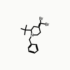 CC(C)(C)C1CC(=C(Br)Br)CCN1Cc1ccccc1